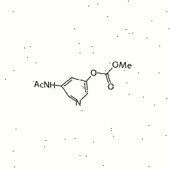 COC(=O)Oc1cncc(NC(C)=O)c1